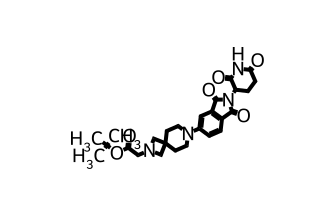 CC(C)(C)OC(=O)CN1CC2(CCN(c3ccc4c(c3)C(=O)N(C3CCC(=O)NC3=O)C4=O)CC2)C1